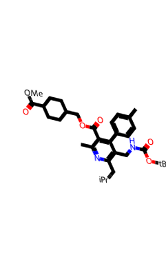 COC(=O)C1CCC(COC(=O)c2c(C)nc(CC(C)C)c(CNC(=O)OC(C)(C)C)c2-c2ccc(C)cc2)CC1